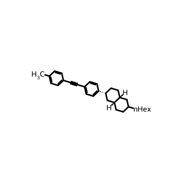 CCCCCCC1CC[C@@H]2C[C@H](c3ccc(C#Cc4ccc(C)cc4)cc3)CC[C@@H]2C1